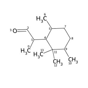 CC(C=O)C1C(C)CCC(C)C1(C)C